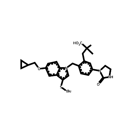 CC(C)(C)Sc1cn(Cc2ccc(N3CCNC3=O)cc2CC(C)(C)C(=O)O)c2ccc(OCC3CC3)cc12